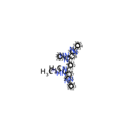 C=C(/C=C\C=C/C)C1=NC(c2cccc(C3=NC(c4ccccc4)NC4=C3CCc3nc(-c5ccccc5)ncc34)c2)C2=C(N1)c1cnc(-c3ccccc3)nc1CC2